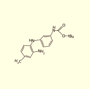 Cc1ccc(Nc2cccc(NC(=O)OC(C)(C)C)c2)c(N)c1